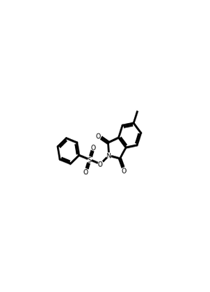 Cc1ccc2c(c1)C(=O)N(OS(=O)(=O)c1ccccc1)C2=O